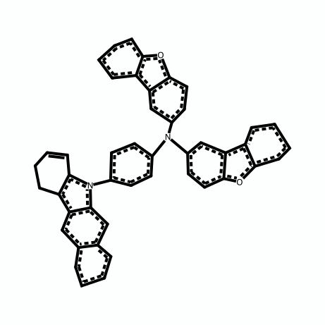 C1=Cc2c(c3cc4ccccc4cc3n2-c2ccc(N(c3ccc4oc5ccccc5c4c3)c3ccc4oc5ccccc5c4c3)cc2)CC1